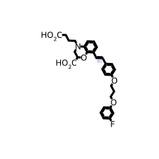 O=C(O)CCCN1CC(C(=O)O)Oc2c(/C=C/c3ccc(OCCCOc4cccc(F)c4)cc3)cccc21